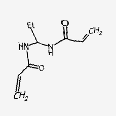 [CH2]CC(NC(=O)C=C)NC(=O)C=C